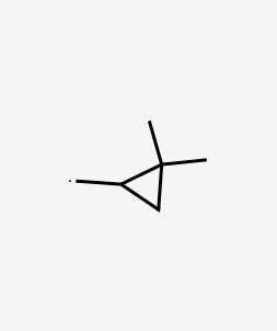 [CH2]C1CC1(C)C